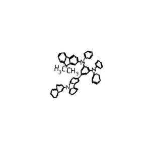 CC1(C)c2ccccc2-c2ccc(N(c3ccccc3)c3cc(-c4ccc5c(c4)c4ccccc4n5-c4ccc5ccccc5c4)cc(N(c4ccccc4)c4ccccc4)c3)cc21